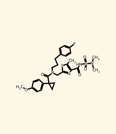 COc1ccc(C2(C(=O)N(CCCc3ccc(F)cc3)Cc3nc(C(=O)NS(=O)(=O)N(C)C)c(C)s3)CC2)cc1